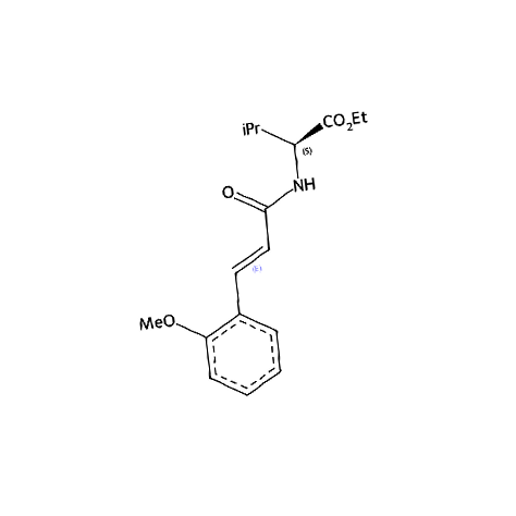 CCOC(=O)[C@@H](NC(=O)/C=C/c1ccccc1OC)C(C)C